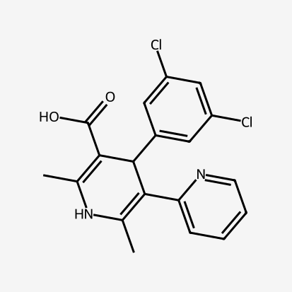 CC1=C(C(=O)O)C(c2cc(Cl)cc(Cl)c2)C(c2ccccn2)=C(C)N1